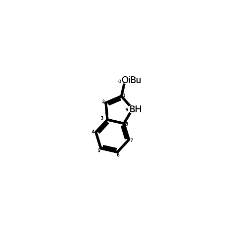 CC(C)COC1=Cc2ccccc2B1